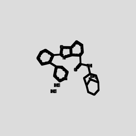 CN1C2CCCC1CC(NC(=O)c1cccc3oc(-c4ccccc4-c4ccncc4)nc13)C2.Cl.Cl